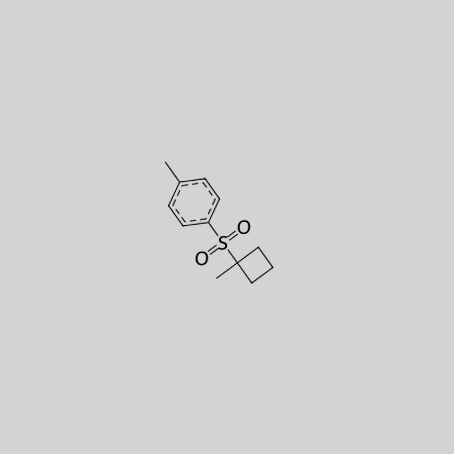 Cc1ccc(S(=O)(=O)C2(C)CCC2)cc1